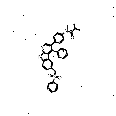 CC(C)C(=O)Nc1ccc(-c2cnc3[nH]c4ccc(CS(=O)(=O)c5ccccc5)cc4c3c2-c2ccccc2)cc1